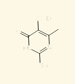 CCOC(=O)c1c(C)nc(C(C)(C)C)[nH]c1=O